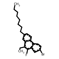 CCCCCCCCc1ccc2c(c1)c(CC)c(F)c1cc(Br)ccc12